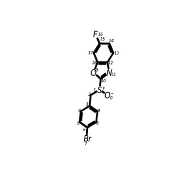 [O-][S+](Cc1ccc(Br)cc1)c1nc2ccc(F)cc2o1